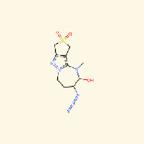 CN1c2c3c(nn2CCC(N=[N+]=[N-])C1O)CS(=O)(=O)C3